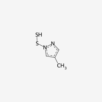 Cc1cnn(SS)c1